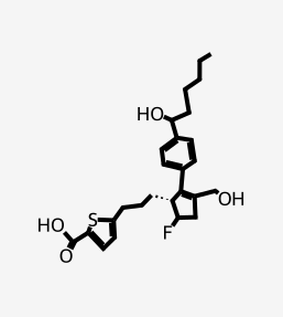 CCCCCC(O)c1ccc(C2=C(CO)CC(F)[C@@H]2CCCc2ccc(C(=O)O)s2)cc1